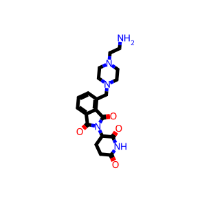 NCCN1CCN(Cc2cccc3c2C(=O)N(C2CCC(=O)NC2=O)C3=O)CC1